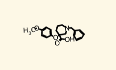 COc1ccc(OC2(C(=O)O)CCCN(Cc3ccccc3)C2)cc1